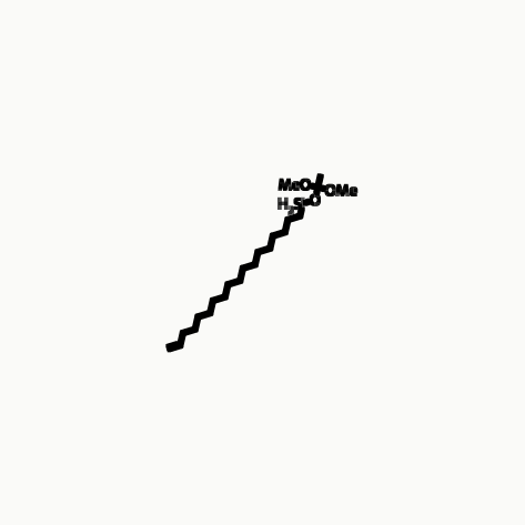 C=CCCCCCCCCCCCCCCCC[SiH2]OC(C)(OC)OC